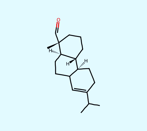 CC(C)C1=CC2CC[C@@H]3[C@H](CCC[C@@]3(C)C=O)[C@H]2CC1